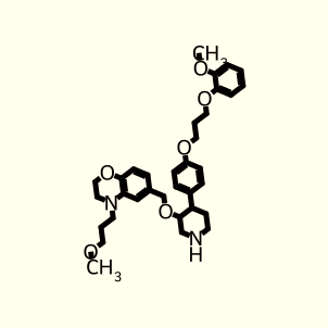 COCCCN1CCOc2ccc(COC3CNCCC3c3ccc(OCCCOc4ccccc4OC)cc3)cc21